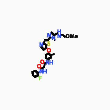 COCCNCc1cnc(-c2cc3nccc(Oc4ccc(NC(=O)CC(=O)Nc5ccccc5F)cc4C)c3s2)n1C